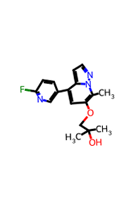 Cc1c(OCC(C)(C)O)cc(-c2ccc(F)nc2)c2ccnn12